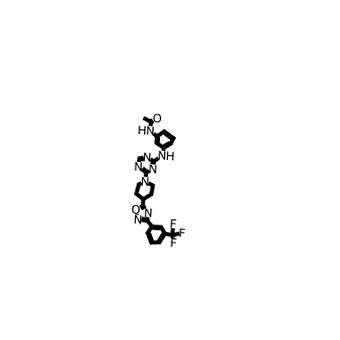 CC(=O)Nc1cccc(Nc2ncnc(N3CCC(c4nc(-c5cccc(C(F)(F)F)c5)no4)CC3)n2)c1